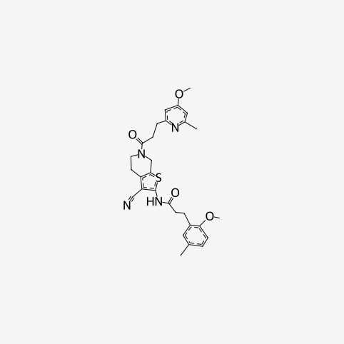 COc1cc(C)nc(CCC(=O)N2CCc3c(sc(NC(=O)CCc4cc(C)ccc4OC)c3C#N)C2)c1